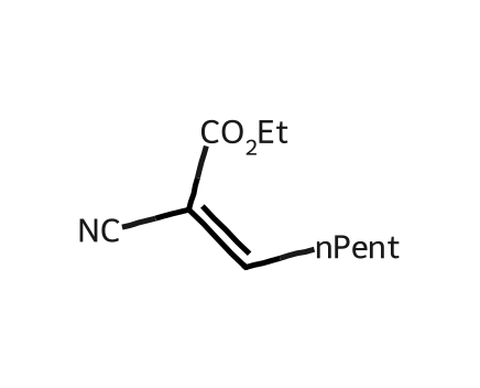 CCCCCC=C(C#N)C(=O)OCC